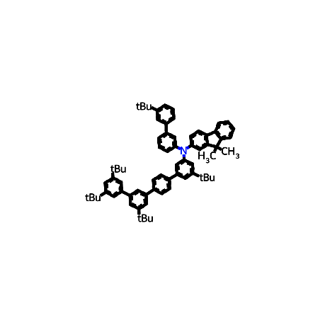 CC(C)(C)c1cccc(-c2cccc(N(c3cc(-c4ccc(-c5cc(-c6cc(C(C)(C)C)cc(C(C)(C)C)c6)cc(C(C)(C)C)c5)cc4)cc(C(C)(C)C)c3)c3ccc4c(c3)C(C)(C)c3ccccc3-4)c2)c1